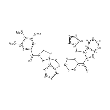 COc1cc(C(=O)N2CCC(CCN3CCC(C(=O)c4nc5ccccc5n4Cc4cccs4)CC3)(c3ccccc3)C2)cc(OC)c1OC